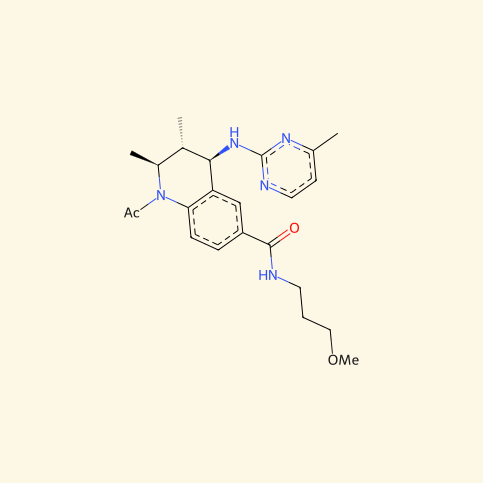 COCCCNC(=O)c1ccc2c(c1)[C@H](Nc1nccc(C)n1)[C@@H](C)[C@H](C)N2C(C)=O